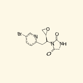 O=C1CNC(=O)N1C(Cc1ccc(Br)cn1)[C@H]1CO1